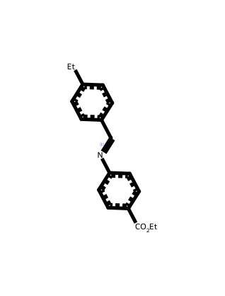 CCOC(=O)c1ccc(/N=C/c2ccc(CC)cc2)cc1